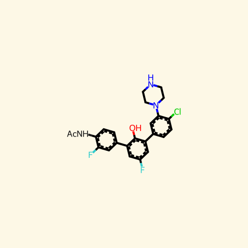 CC(=O)Nc1ccc(-c2cc(F)cc(-c3ccc(Cl)c(N4CCNCC4)c3)c2O)cc1F